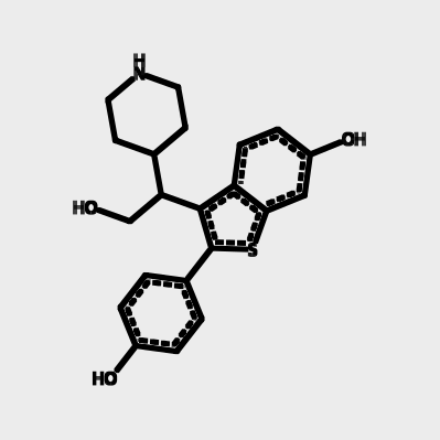 OCC(c1c(-c2ccc(O)cc2)sc2cc(O)ccc12)C1CCNCC1